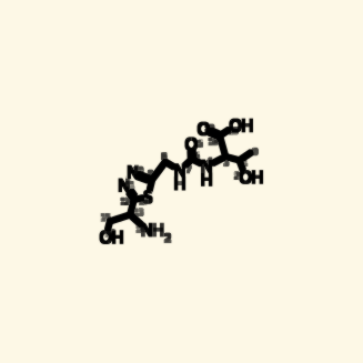 CC(O)C(NC(=O)NCc1nnc(C(N)CO)s1)C(=O)O